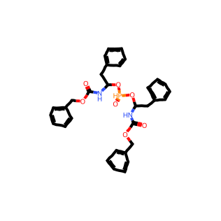 O=C(NC(Cc1ccccc1)O[PH](=O)OC(Cc1ccccc1)NC(=O)OCc1ccccc1)OCc1ccccc1